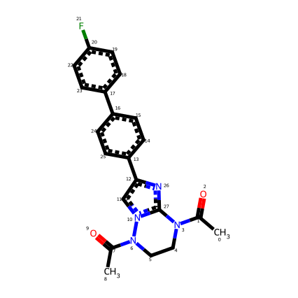 CC(=O)N1CCN(C(C)=O)n2cc(-c3ccc(-c4ccc(F)cc4)cc3)nc21